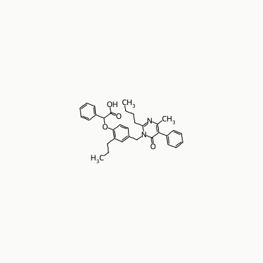 CCCCc1nc(C)c(-c2ccccc2)c(=O)n1Cc1ccc(OC(C(=O)O)c2ccccc2)c(CCC)c1